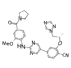 COc1cc(C(=O)N2CCCC2)ccc1Nc1ncc(-c2ccc(C#N)c(O[C@@H](C)Cn3cncn3)c2)cn1